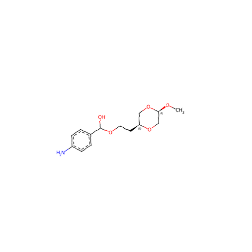 CO[C@H]1CO[C@@H](CCOC(O)c2ccc(N)cc2)CO1